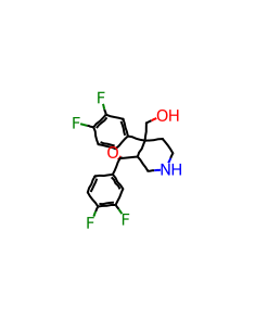 O=C(c1ccc(F)c(F)c1)C1CNCCC1(CO)c1ccc(F)c(F)c1